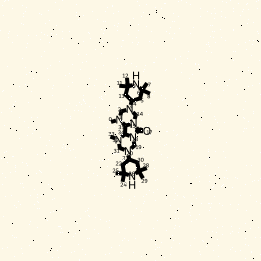 CN1CN(C2CC(C)(C)NC(C)(C)C2)CN2C(=O)N3CN(C4CC(C)(C)NC(C)(C)C4)CN(C)C3C12